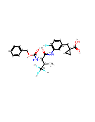 CC([C@H](NC(=O)OCc1ccccc1)C(=O)Nc1cc(CC2(C(=O)O)CC2)ccc1F)C(F)(F)F